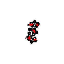 CC(C)(C)c1cc2c3c(c1)N(c1c(-c4ccccc4)cccc1-c1ccccc1)c1ccccc1B3c1cc3c4cccc5c6cc7c(cc6n(c3cc1N2c1ccccc1-c1ccccc1)c45)N(c1ccccc1-c1ccccc1)c1cc(C(C)(C)C)cc2c1B7c1ccccc1N2c1c(-c2ccccc2)cccc1-c1ccccc1